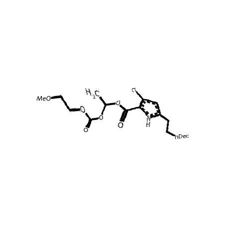 CCCCCCCCCCCCc1cc(Cl)c(C(=O)OC(C)OC(=O)OCCOC)[nH]1